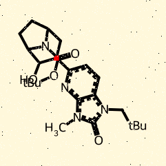 Cn1c(=O)n(CC(C)(C)C)c2ccc(C3CC4CCC(C3O)N4C(=O)OC(C)(C)C)nc21